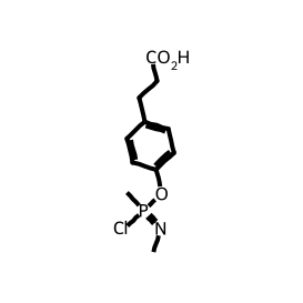 CN=P(C)(Cl)Oc1ccc(CCC(=O)O)cc1